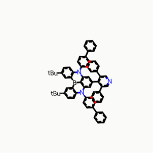 CC(C)(C)c1ccc2c(c1)B1c3cc(C(C)(C)C)ccc3N(c3ccc(-c4ccccc4)cc3)c3cc(-c4c(-c5ccccc5)cncc4-c4ccccc4)cc(c31)N2c1ccc(-c2ccccc2)cc1